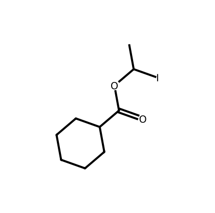 CC(I)OC(=O)C1CCCCC1